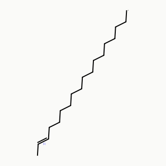 [CH2]CCCCCCCCCCCCCC/C=C/C